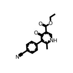 CCOC(=O)c1c[nH]c(C)c(-c2ccc(C#N)cc2)c1=O